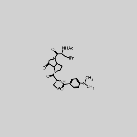 CC(=O)N[C@@H](CC(C)C)C(=O)N1CC(=O)C2C1CCN2C(=O)[C@H](CC(C)C)NC(=O)c1ccc(N(C)C)cc1